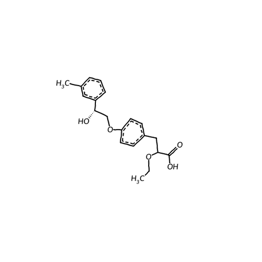 CCOC(Cc1ccc(OC[C@H](O)c2cccc(C)c2)cc1)C(=O)O